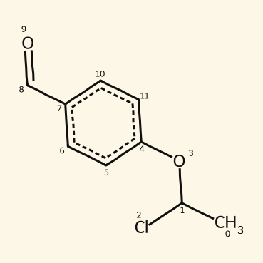 CC(Cl)Oc1ccc(C=O)cc1